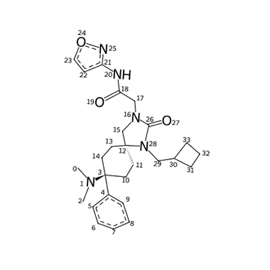 CN(C)[C@]1(c2ccccc2)CC[C@]2(CC1)CN(CC(=O)Nc1ccon1)C(=O)N2CC1CCC1